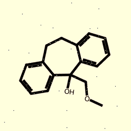 COCC1(O)c2ccccc2CCc2ccccc21